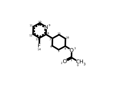 CC(=O)OC1CCC(c2ncccc2F)CC1